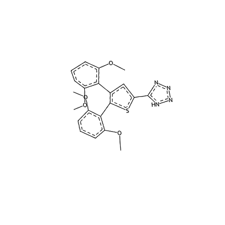 COc1cccc(OC)c1-c1cc(-c2nnn[nH]2)sc1-c1c(OC)cccc1OC